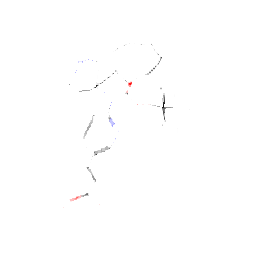 CC(C)(C)OC(=O)N(c1ccc(/C=C/C(=O)O)cn1)[C@@]1(C2CCCCCC2)CCNC1